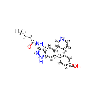 CCCC(=O)Nc1n[nH]c2cc(-c3ccc(O)cc3)c(-c3cccnc3)cc12